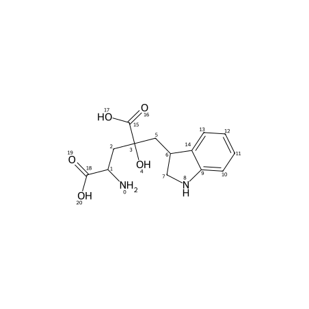 NC(CC(O)(CC1CNc2ccccc21)C(=O)O)C(=O)O